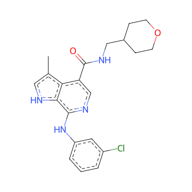 Cc1c[nH]c2c(Nc3cccc(Cl)c3)ncc(C(=O)NCC3CCOCC3)c12